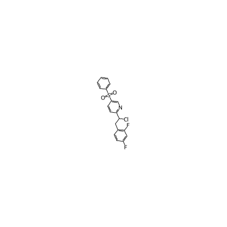 O=S(=O)(c1ccccc1)c1ccc(C(Cl)Cc2ccc(F)cc2F)nc1